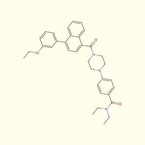 CCOc1cccc(-c2ccc(C(=O)N3CCN(c4ccc(C(=O)N(CC)CC)cc4)CC3)c3ccccc23)c1